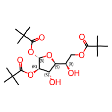 CC(C)(C)C(=O)OC[C@@H](O)[C@@H]1O[C@@H](OC(=O)C(C)(C)C)[C@H](OC(=O)C(C)(C)C)[C@H]1O